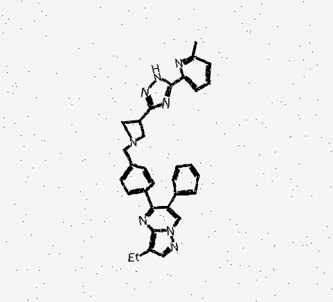 CCc1cnn2cc(-c3ccccc3)c(-c3ccc(CN4CC(c5n[nH]c(-c6cccc(C)n6)n5)C4)cc3)nc12